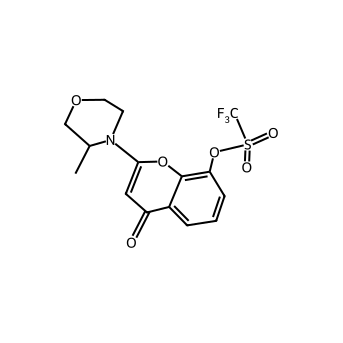 CC1COCCN1c1cc(=O)c2cccc(OS(=O)(=O)C(F)(F)F)c2o1